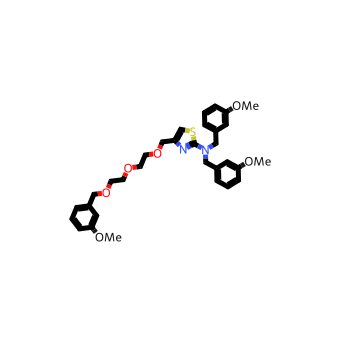 COc1cccc(COCCOCCOCc2csc(N(Cc3cccc(OC)c3)Cc3cccc(OC)c3)n2)c1